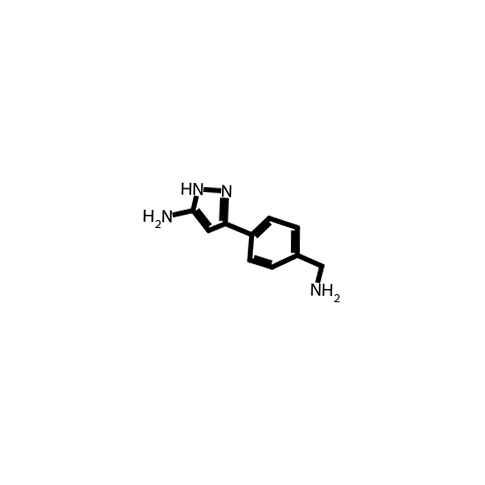 NCc1ccc(-c2cc(N)[nH]n2)cc1